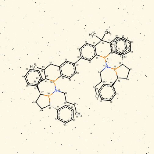 CCCCN(P1c2ccccc2C(C)(C)c2ccc(-c3ccc4c(c3)CC(C)[C@H](C)P4N(CCCC)P3[C@H](c4ccccc4)CC[C@H]3c3ccccc3)cc21)P1[C@H](c2ccccc2)CC[C@H]1c1ccccc1